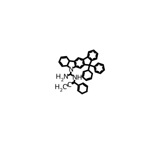 C=C=C(NC(N)N1c2cc3c(cc2C2C=CC=CC21)-c1ccccc1C3(c1ccccc1)C1C=CC=CC1)C1=CCCC=C1